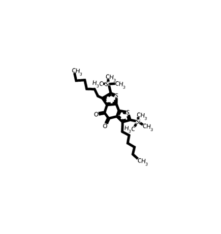 CCCCCCc1c([Si](C)(C)C)sc2c1C(=O)C(=O)c1c-2sc([Si](C)(C)C)c1CCCCCC